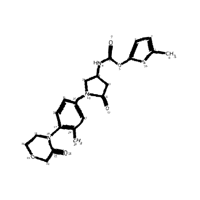 Cc1ccc(OC(=O)NC2CC(=O)N(c3ccc(N4CCOCC4=O)c(C)c3)C2)s1